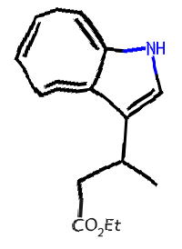 CCOC(=O)CC(C)c1c[nH]c2ccccc12